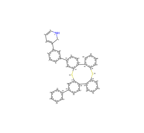 C1=CNCC(c2cccc(-c3ccc4c(c3)Sc3cc(-c5ccccc5)ccc3-c3ccccc3Sc3ccccc3-4)c2)=C1